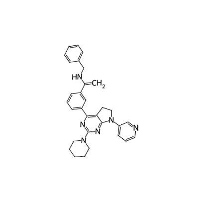 C=C(NCc1ccccc1)c1cccc(-c2nc(N3CCCCC3)nc3c2CCN3c2cccnc2)c1